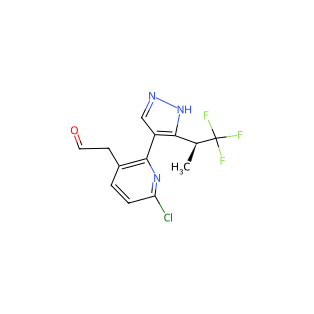 C[C@@H](c1[nH]ncc1-c1nc(Cl)ccc1CC=O)C(F)(F)F